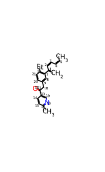 C=C(/C=C\C=C/C)c1cc(CC(=O)c2ccc(C)nc2)ccc1CC